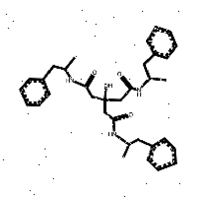 CC(Cc1ccccc1)NC(=O)CC(O)(CC(=O)NC(C)Cc1ccccc1)CC(=O)NC(C)Cc1ccccc1